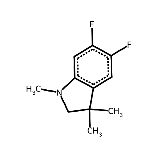 CN1CC(C)(C)c2cc(F)c(F)cc21